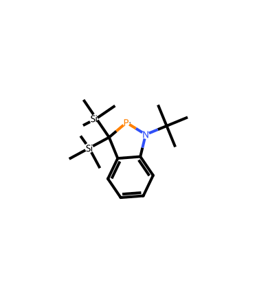 CC(C)(C)N1[P]C([Si](C)(C)C)([Si](C)(C)C)c2ccccc21